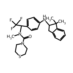 CN(C(=O)N1CCSCC1)C(c1ccc(NC2Cc3ccccc3C2(C)C)cc1)C(F)(F)F